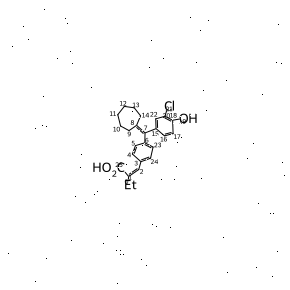 CCC(=Cc1ccc(C(=C2CCCCCC2)c2ccc(O)c(Cl)c2)cc1)C(=O)O